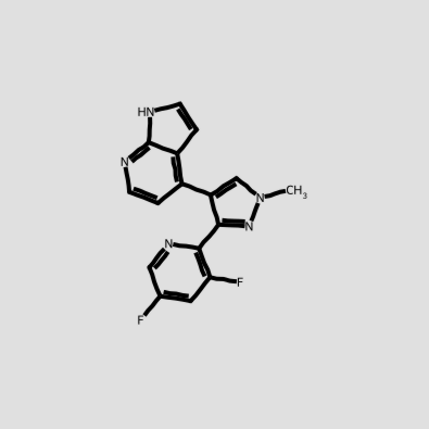 Cn1cc(-c2ccnc3[nH]ccc23)c(-c2ncc(F)cc2F)n1